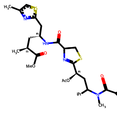 COC(=O)[C@@H](C)C[C@H](Cc1nc(C)cs1)NC(=O)C1CSC([C@@H](CC(C(C)C)N(C)C(=O)C2CC2)OC(C)=O)=N1